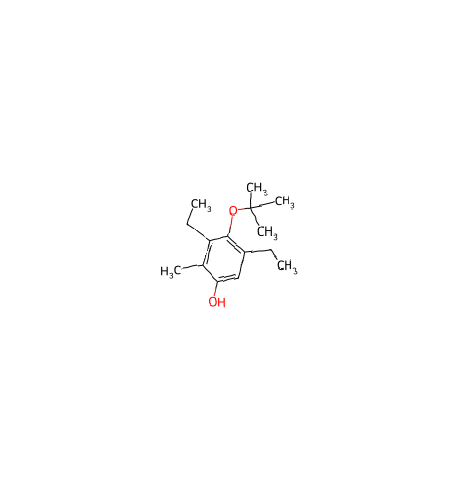 CCc1cc(O)c(C)c(CC)c1OC(C)(C)C